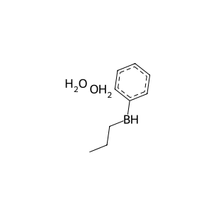 CCCBc1ccccc1.O.O